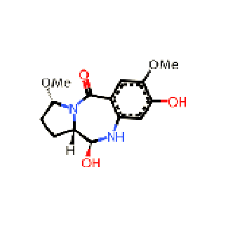 COc1cc2c(cc1O)N[C@@H](O)[C@@H]1CC[C@H](OC)N1C2=O